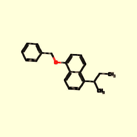 CCC(C)c1cccc2c(OCc3ccccc3)cccc12